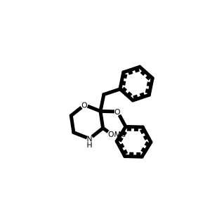 COC1NCCOC1(Cc1ccccc1)Oc1ccccc1